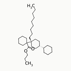 CCCCCCCCC[C@]1(C2(C(=O)OCCC)CCCCC2)CC[C@@H](C2CCCCC2)CC1